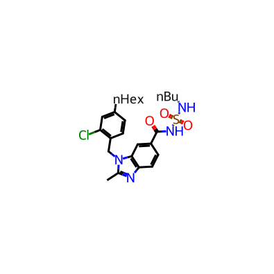 CCCCCCc1ccc(Cn2c(C)nc3ccc(C(=O)NS(=O)(=O)NCCCC)cc32)c(Cl)c1